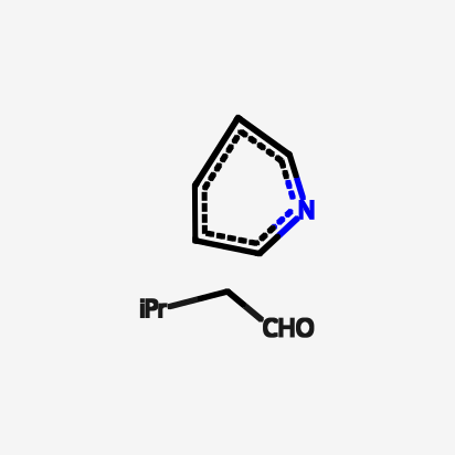 CC(C)CC=O.c1ccncc1